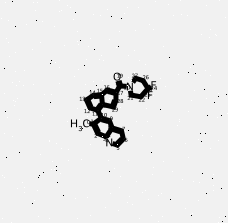 Cc1cc2ncccc2cc1-c1cccc2cc(C(=O)N3CCC(F)(F)CC3)ccc12